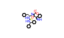 COC(=O)c1nc([C@H](Cc2ccccc2)NC(=S)NC(c2ccccc2)c2ccccc2)oc1-c1c[nH]c2ccccc12